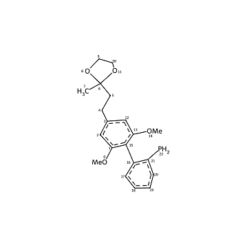 COc1cc(CCC2(C)OCCO2)cc(OC)c1-c1ccccc1P